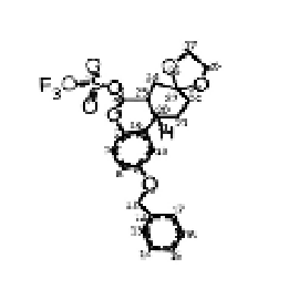 O=S(=O)(OC1Oc2ccc(OCc3ccccc3)cc2[C@H]2CCC3(CC12)OCCO3)C(F)(F)F